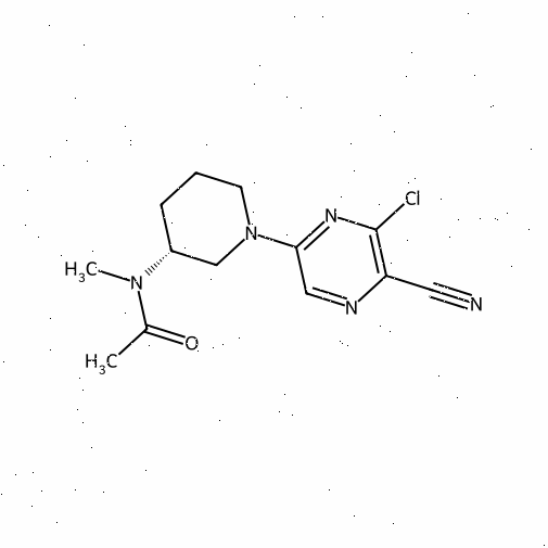 CC(=O)N(C)[C@@H]1CCCN(c2cnc(C#N)c(Cl)n2)C1